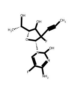 CC#CC1(F)C(O)[C@@H]([C@H](C)O)O[C@H]1N1C=C(F)C(N)=NC1O